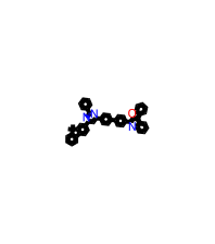 CC1(C)c2ccccc2-c2ccc(-c3cc(-c4ccc(-c5ccc(-c6nc7ccccc7c7c6oc6ccccc67)cc5)cc4)nc(-c4ccccc4)n3)cc21